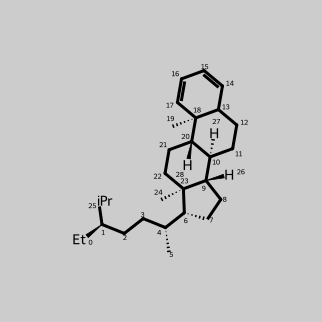 CC[C@H](CC[C@@H](C)[C@H]1CC[C@H]2[C@@H]3CCC4C=CC=C[C@]4(C)[C@H]3CC[C@]12C)C(C)C